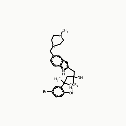 CN1CCN(Cc2ccc3[nH]c(CC(O)(CC(C)(C)c4cc(Br)ccc4O)C(F)(F)F)cc3c2)CC1